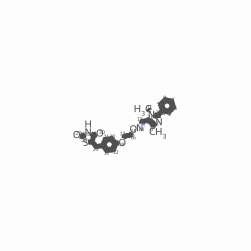 Cc1nc(-c2ccccc2)n(C)c1/C=N/OCCOc1ccc(CC2SC(=O)NC2=O)cc1